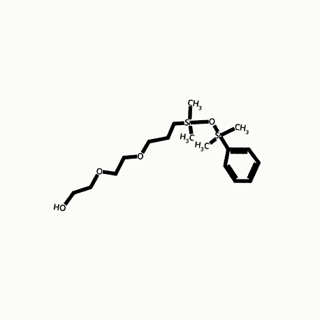 C[Si](C)(CCCOCCOCCO)O[Si](C)(C)c1ccccc1